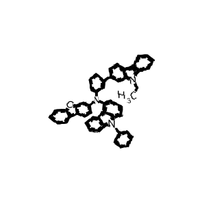 CCn1c2ccccc2c2ccc(-c3cccc(N(c4ccc5c(c4)oc4ccccc45)c4cccc5c4c4ccccc4n5-c4ccccc4)c3)cc21